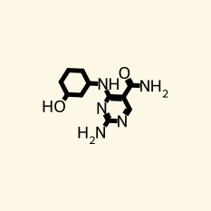 NC(=O)c1cnc(N)nc1NC1CCCC(O)C1